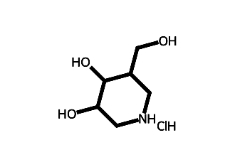 Cl.OCC1CNCC(O)C1O